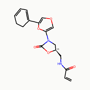 C=CC(=O)NC[C@@H]1CN(C2=COC=C(C3=CC=CCC3)O2)C(=O)O1